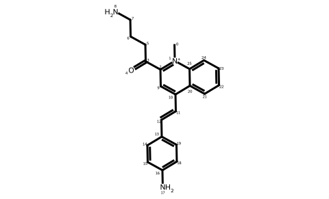 C[n+]1c(C(=O)CCCN)cc(C=Cc2ccc(N)cc2)c2ccccc21